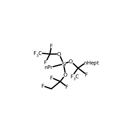 CCCCCCCC(F)(O[Si](CCC)(OC(F)(F)CF)OC(F)(F)C(F)(F)F)C(F)(F)F